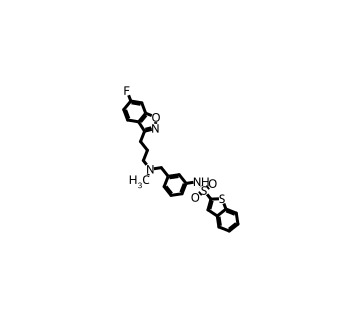 CN(CCCc1noc2cc(F)ccc12)Cc1cccc(NS(=O)(=O)c2cc3ccccc3s2)c1